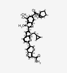 COc1cc(C(=O)N2CC3CCC2[C@@H]3N)cc2nc(-c3cc4ccc(C5=CC6N=CC(C(N)=O)=C6N=C5)nc4n3CC3CC3)n(C)c12